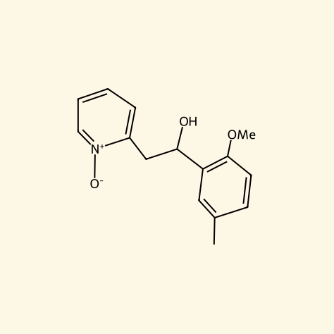 COc1ccc(C)cc1C(O)Cc1cccc[n+]1[O-]